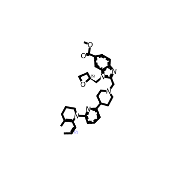 C/C=C\C1=C(C)CCCN1c1cccc(C2CCN(Cc3nc4ccc(C(=O)OC)cc4n3C[C@@H]3CCO3)CC2)n1